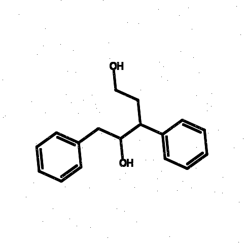 OCCC(c1ccccc1)C(O)Cc1ccccc1